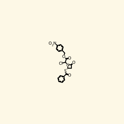 O=C(S[C@H]1CC(=O)N1C(Cl)C(=O)OCc1ccc([N+](=O)[O-])cc1)c1ccccc1